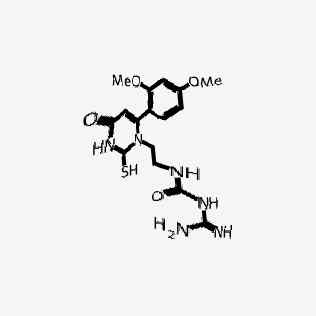 COc1ccc(C2=CC(=O)NC(S)N2CCNC(=O)NC(=N)N)c(OC)c1